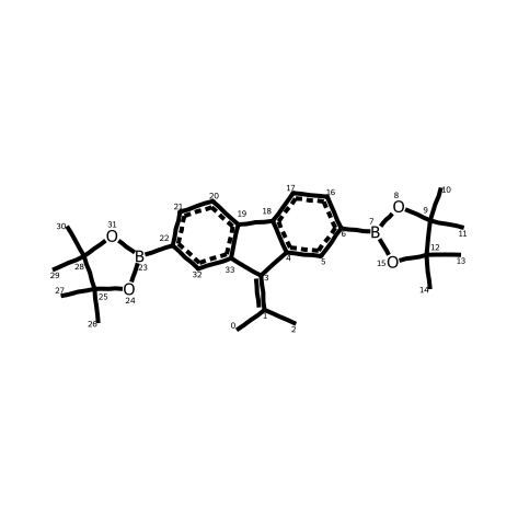 CC(C)=C1c2cc(B3OC(C)(C)C(C)(C)O3)ccc2-c2ccc(B3OC(C)(C)C(C)(C)O3)cc21